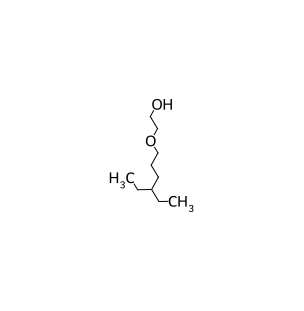 CCC(CC)CCCOCCO